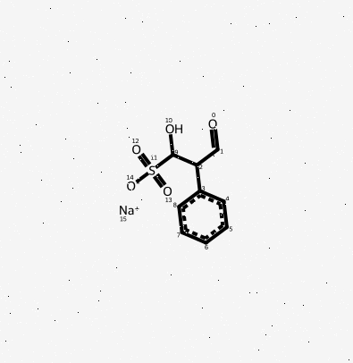 O=CC(c1ccccc1)C(O)S(=O)(=O)[O-].[Na+]